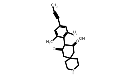 CC#Cc1cc(C)c(C2C(=O)CC3(CCNCC3)CC2=O)c(C)c1.Cl